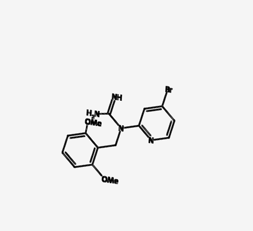 COc1cccc(OC)c1CN(C(=N)N)c1cc(Br)ccn1